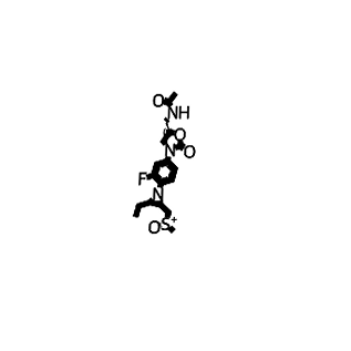 CCC1C(C[S+](C)[O-])N1c1ccc(N2C[C@H](CNC(C)=O)OC2=O)cc1F